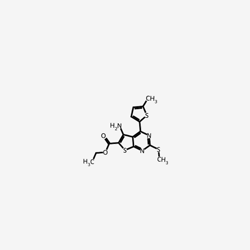 CCOC(=O)c1sc2nc(SC)nc(-c3ccc(C)s3)c2c1N